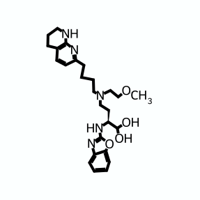 COCCN(CCCCc1ccc2c(n1)NCCC2)CC[C@H](Nc1nc2ccccc2o1)C(O)O